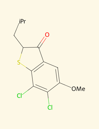 COc1cc2c(c(Cl)c1Cl)SC(CC(C)C)C2=O